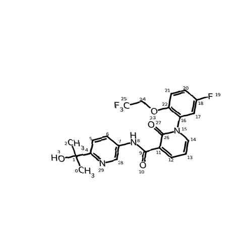 CC(C)(O)c1ccc(NC(=O)c2cccn(-c3cc(F)ccc3OCC(F)(F)F)c2=O)cn1